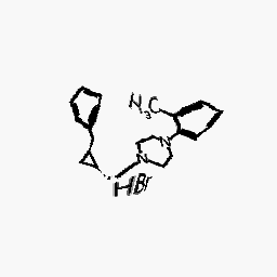 Br.Cc1ccccc1N1CCN(C[C@@H]2C[C@H]2c2ccccc2)CC1